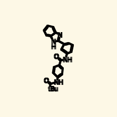 CC(C)(C)C(=O)Nc1ccc(C(=O)Nc2cccc(-c3nc4ccccc4[nH]3)c2)cc1